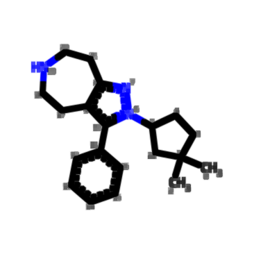 CC1(C)CCC(n2nc3c(c2-c2ccccc2)CCNCC3)C1